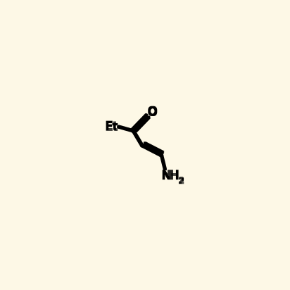 CCC(=O)C=CN